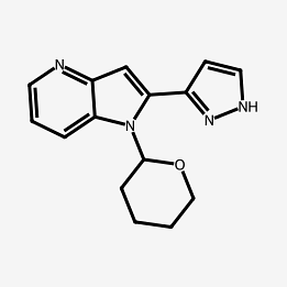 c1cnc2cc(-c3cc[nH]n3)n(C3CCCCO3)c2c1